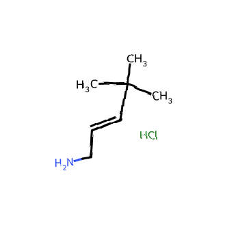 CC(C)(C)C=CCN.Cl